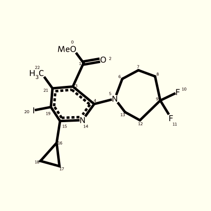 COC(=O)c1c(N2CCCC(F)(F)CC2)nc(C2CC2)c(I)c1C